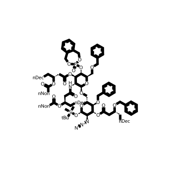 CCCCCCCCCCC[C@H](CC(=O)O[C@@H]1[C@@H](N=[N+]=[N-])[C@H](O[Si](C)(C)C(C)(C)C)O[C@H](CO[C@@H]2O[C@H](COCc3ccccc3)[C@@H](OP3(=O)OCc4ccccc4CO3)[C@H](OC(=O)C[C@@H](CCCCCCCCCCC)OC(=O)CCCCCCCCC)[C@H]2NC(=O)C[C@@H](CCCCCCCCCCC)OC(=O)CCCCCCCCC)[C@H]1OCc1ccccc1)OCc1ccccc1